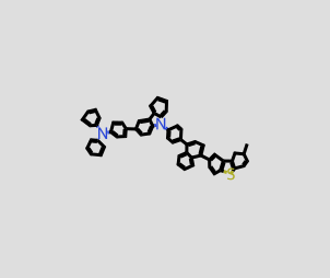 CC1C=Cc2sc3ccc(-c4ccc(-c5ccc(-n6c7ccccc7c7cc(-c8ccc(N(c9ccccc9)c9ccccc9)cc8)ccc76)cc5)c5ccccc45)cc3c2C1